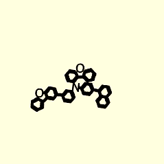 c1cc(-c2ccc3oc4ccccc4c3c2)cc(N(c2ccc(-c3cccc4ccccc34)cc2)c2cccc3oc4ccccc4c23)c1